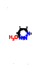 O.c1cnnnc1